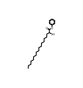 CCCCCCCCCCCCCCCCC(S)C(=O)Oc1ccccc1